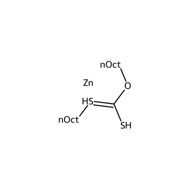 CCCCCCCCOC(S)=[SH]CCCCCCCC.[Zn]